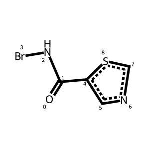 O=C(NBr)c1cncs1